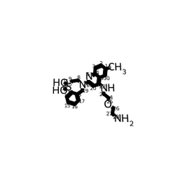 Cc1ccc2nc(N3CCS(O)(O)c4ccccc4C3)cc(NCCOCCN)c2c1